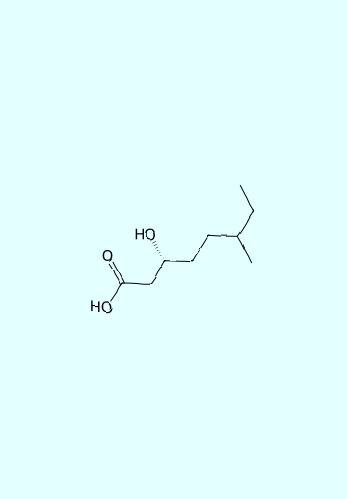 CCC(C)CC[C@@H](O)CC(=O)O